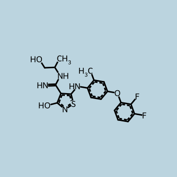 Cc1cc(Oc2cccc(F)c2F)ccc1Nc1snc(O)c1C(=N)NC(C)CO